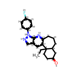 CCC12CCC(=O)CC1CCCc1nc3c(cnn3-c3ccc(F)cc3)cc12